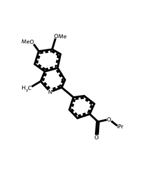 COc1cc2cc(-c3ccc(C(=O)OC(C)C)cc3)nc(C)c2cc1OC